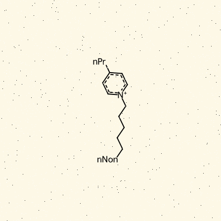 CCCCCCCCCCCCCC[n+]1ccc(CCC)cc1